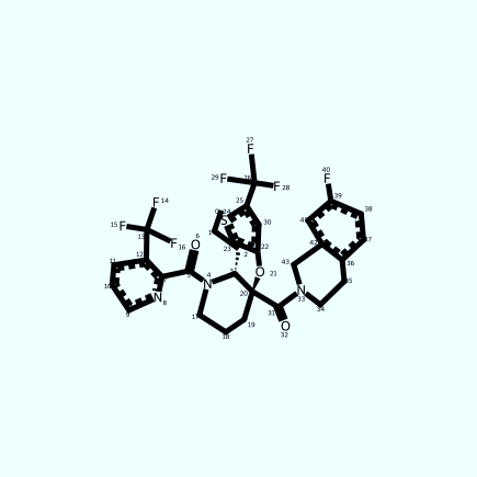 CCC[C@H]1N(C(=O)c2ncccc2C(F)(F)F)CCC[C@@]1(Oc1csc(C(F)(F)F)c1)C(=O)N1CCc2ccc(F)cc2C1